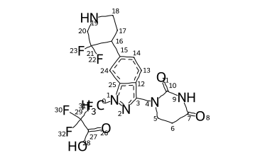 Cn1nc(N2CCC(=O)NC2=O)c2ccc(C3CCNCC3(F)F)cc21.O=C(O)C(F)(F)F